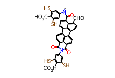 CN(C(=O)c1ccc2c3ccc4c5c(ccc(c6ccc(C=O)c1c62)c53)C(=O)N(c1cc(S)c(C(=O)O)c(S)c1)C4=O)c1cc(S)c(C(=O)O)c(S)c1